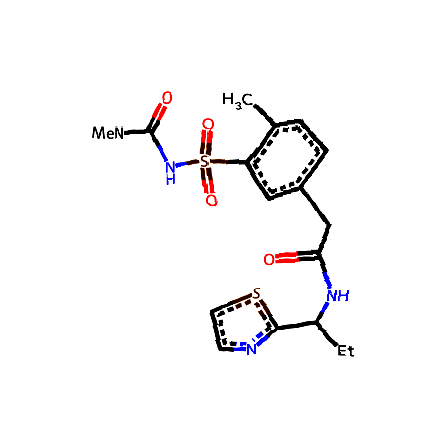 CCC(NC(=O)Cc1ccc(C)c(S(=O)(=O)NC(=O)NC)c1)c1nccs1